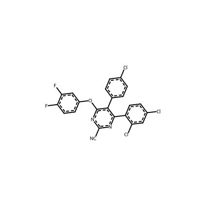 N#Cc1nc(Oc2ccc(F)c(F)c2)c(-c2ccc(Cl)cc2)c(-c2ccc(Cl)cc2Cl)n1